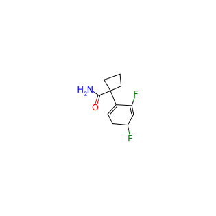 NC(=O)C1(C2=CCC(F)C=C2F)CCC1